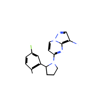 Nc1cnn2ccc(N3CCCC3c3cc(F)ccc3C(F)(F)F)nc12